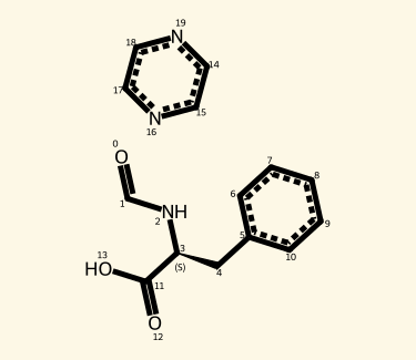 O=CN[C@@H](Cc1ccccc1)C(=O)O.c1cnccn1